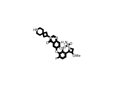 COC1CN(S(N)(=O)=O)C1c1ccc(F)c(Oc2ccc3ncn(C4CC5(CCNCC5)C4)c(=O)c3c2)c1C#N